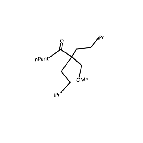 CCCCCC(=O)C(CCC(C)C)(CCC(C)C)COC